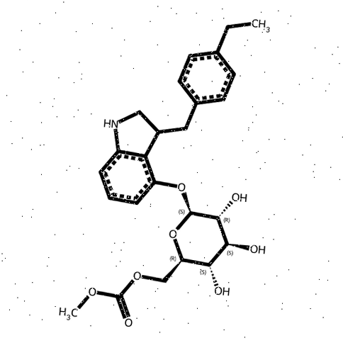 CCc1ccc(CC2CNc3cccc(O[C@@H]4O[C@H](COC(=O)OC)[C@@H](O)[C@H](O)[C@H]4O)c32)cc1